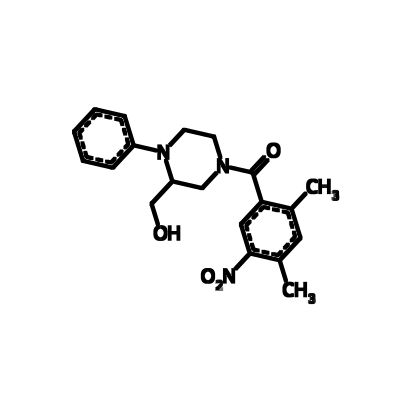 Cc1cc(C)c([N+](=O)[O-])cc1C(=O)N1CCN(c2ccccc2)C(CO)C1